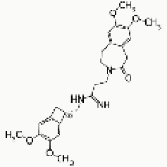 COc1cc2c(cc1OC)CC(=O)N(CCC(=N)NC[C@H]1Cc3cc(OC)c(OC)cc31)CC2